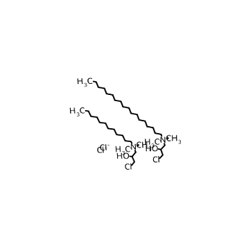 CCCCCCCCCCCCCCCCCC[N+](C)(C)CC(O)CCl.CCCCCCCCCCCC[N+](C)(C)CC(O)CCl.[Cl-].[Cl-]